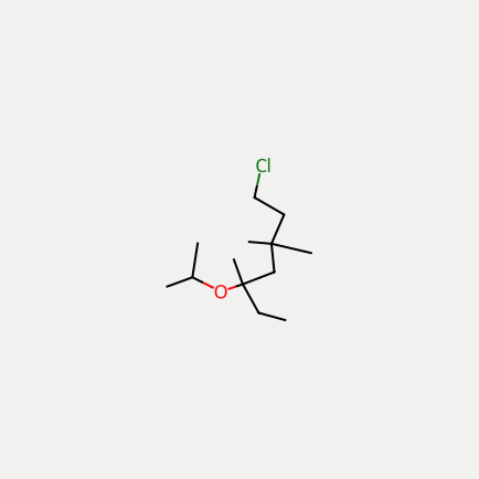 CCC(C)(CC(C)(C)CCCl)OC(C)C